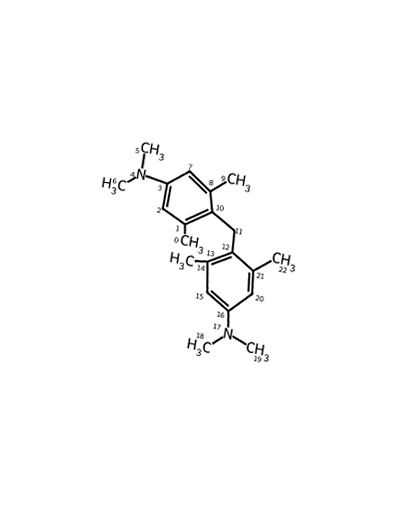 Cc1cc(N(C)C)cc(C)c1Cc1c(C)cc(N(C)C)cc1C